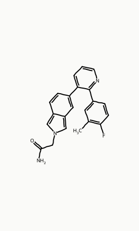 Cc1cc(-c2ncccc2-c2ccc3cn(CC(N)=O)cc3c2)ccc1F